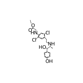 CCOC(=O)CNc1cc(Cl)c(CCN[C@@H](C)[C@H](O)c2ccc(O)cc2)cc1Cl